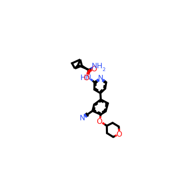 N#Cc1cc(-c2ccnc(NC(=O)C3C4CC3C4C(N)=O)c2)ccc1OC1CCOCC1